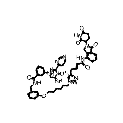 CN(C(=N)CNc1cccc(C(=O)NCc2cccc(OCCCCCCn3cc(CCCC(=O)Nc4cccc5c4CN(C4CCC(=O)NC4=O)C5=O)nn3)c2)c1)C(=N)c1ccncn1